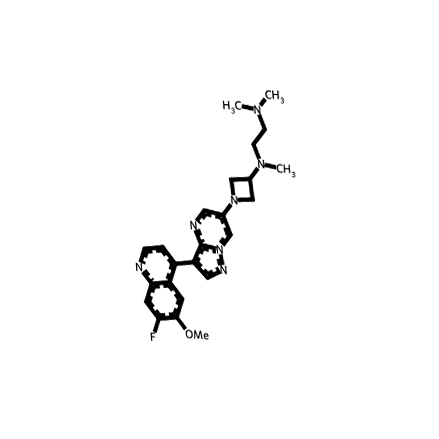 COc1cc2c(-c3cnn4cc(N5CC(N(C)CCN(C)C)C5)cnc34)ccnc2cc1F